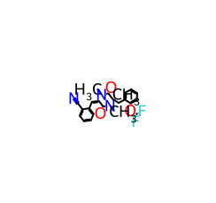 CN1C(=O)C(C)(Cc2ccccc2OC(F)F)N(C)C(=O)/C1=C\c1ccccc1C#N